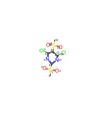 CS(=O)(=O)c1nc(Cl)c(S(C)(=O)=O)c(Cl)n1